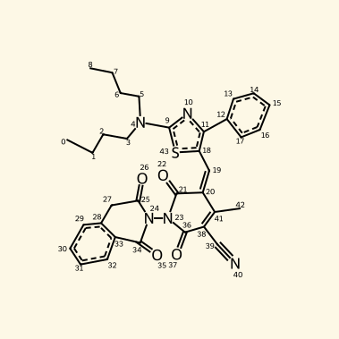 CCCCN(CCCC)c1nc(-c2ccccc2)c(/C=C2\C(=O)N(N3C(=O)Cc4ccccc4C3=O)C(=O)C(C#N)=C2C)s1